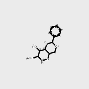 CC(=O)NC1NOC2COC(c3ccccc3)OC2C1O